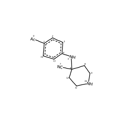 CC(=O)c1ccc(NC2(C#N)CCNCC2)cc1